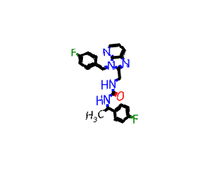 CC(NC(=O)NCc1nc2cccnc2n1Cc1ccc(F)cc1)c1ccc(F)cc1